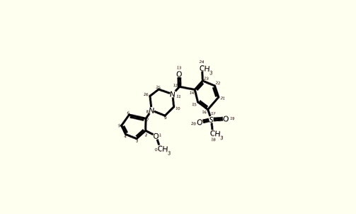 COc1ccccc1N1CCN(C(=O)c2cc(S(C)(=O)=O)ccc2C)CC1